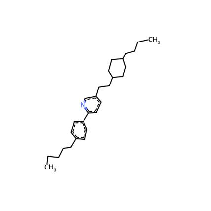 CCCCCc1ccc(-c2ccc(CCC3CCC(CCCC)CC3)cn2)cc1